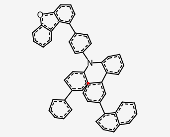 c1ccc(-c2ccc(N(c3ccc(-c4cccc5oc6ccccc6c45)cc3)c3ccccc3-c3cccc(-c4cccc5ccccc45)c3)cc2)cc1